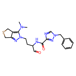 CN(C)c1c2c(nn1CCC(C=O)NC(=O)c1ncn(Cc3ccccc3)n1)CSC2